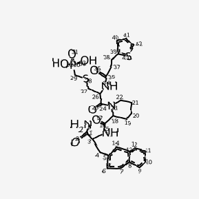 NC(=O)C(Cc1ccc2ccccc2c1)NC(=O)C1CCCCN1C(=O)C(CSCP(=O)(O)O)NC(=O)CCc1cccs1